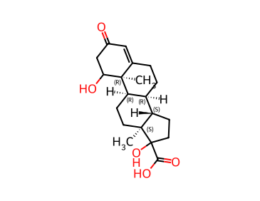 C[C@]12CC[C@@H]3[C@@H](CCC4=CC(=O)CC(O)[C@@]43C)[C@@H]1CCC2(O)C(=O)O